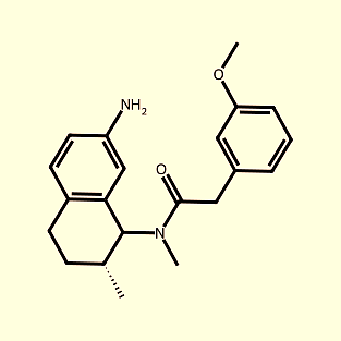 COc1cccc(CC(=O)N(C)C2c3cc(N)ccc3CC[C@H]2C)c1